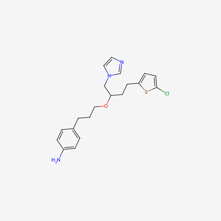 Nc1ccc(CCCOC(CCc2ccc(Cl)s2)Cn2ccnc2)cc1